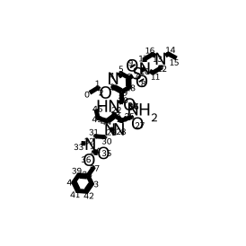 CCOc1ncc(S(=O)(=O)N2CCN(CC)CC2)cc1C(=O)Nc1c(C(N)=O)nn(CCN(C)C(=O)OCc2ccccc2)c1CC